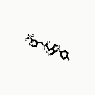 CS(=O)(=O)c1cc(CNC(=O)c2nncc3c2cnn3-c2ccc(F)cc2)ccn1